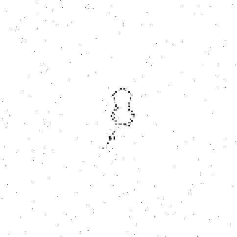 [Cl][Zn][c]1ccc2c(c1)CCC2